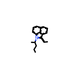 C/C=c1\c2cccc3cccc(c32)n1C(C)CCC